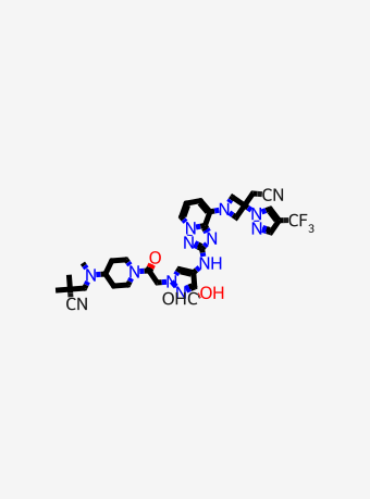 CN(CC(C)(C)C#N)C1CCN(C(=O)Cn2cc(Nc3nc4c(N5CC(CC#N)(n6cc(C(F)(F)F)cn6)C5)cccn4n3)cn2)CC1.O=CO